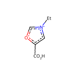 CC[n+]1coc(C(=O)O)c1